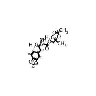 CC(=O)OC(C)(C)COC(=O)N(C)C(C)Cc1ccc2c(c1)OCO2